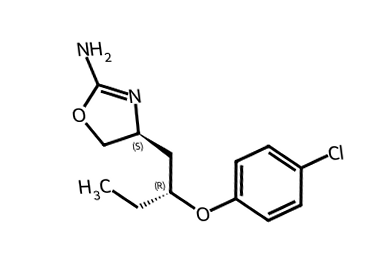 CC[C@H](C[C@H]1COC(N)=N1)Oc1ccc(Cl)cc1